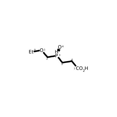 CCOC[PH](=O)CCC(=O)O